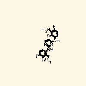 Nc1c(F)ccc(Nc2ccnc(Nc3ccc(F)c(N)c3F)n2)c1F